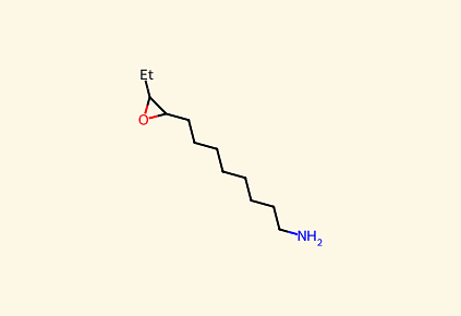 CCC1OC1CCCCCCCCN